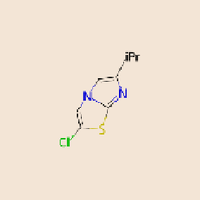 CC(C)c1cn2cc(Cl)sc2n1